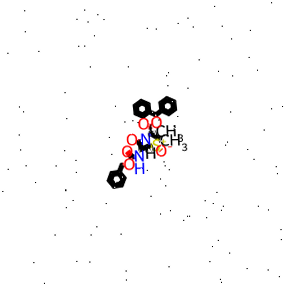 CC1(C)[C@H](C(=O)OC(c2ccccc2)c2ccccc2)N2C(=O)[C@@H](NC(=O)OCc3ccccc3)[C@H]2[S+]1[O-]